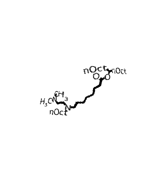 CCCCCCCCC(CCCCCCCC)OC(=O)CCCCCCCN(CCCCCCCC)CCN(C)C